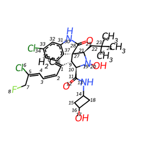 C=C(/C=C\C=C(\Cl)CF)[C@H]1[C@H](C(=O)NC2CC(O)C2)N(O)[C@H](CC(C)(C)C)[C@]12C(=O)Nc1cc(Cl)ccc12